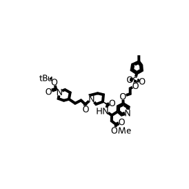 COC(=O)CC(NC(=O)[C@@H]1CCCN(C(=O)CCC2CCN(C(=O)OC(C)(C)C)CC2)C1)c1cncc(OCCOS(=O)(=O)c2ccc(C)cc2)c1